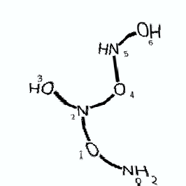 NON(O)ONO